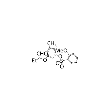 CCC(C=O)Oc1cc(C)cc(OS(=O)(=O)c2ccccc2OC)c1